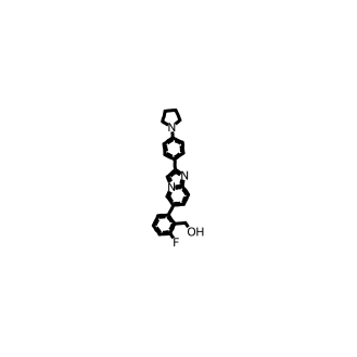 OCc1c(F)cccc1-c1ccc2nc(-c3ccc(N4CCCC4)cc3)cn2c1